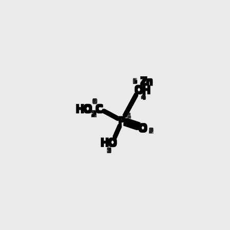 O=C(O)P(=O)(O)O.[Zn]